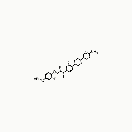 CCCCOc1ccc(OCC(F)C(F)c2ccc(C3CCC(C4CCC(C)OC4)CC3)c(F)c2)c(F)c1